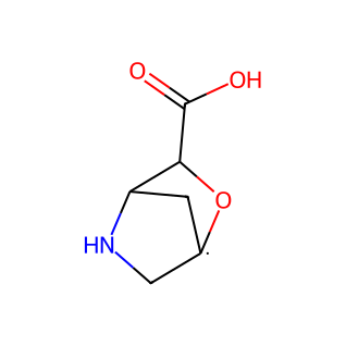 O=C(O)C1O[C]2CNC1C2